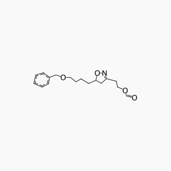 O=COCCC1=NOC(CCCCOCc2ccccc2)C1